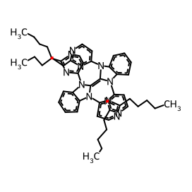 CCCCCc1nccc(N2C(=C3N(c4ccnc(CCCCC)n4)c4ccccc4N3c3ccnc(CCCCC)n3)N(c3ccnc(CCCCC)n3)c3ccccc32)n1